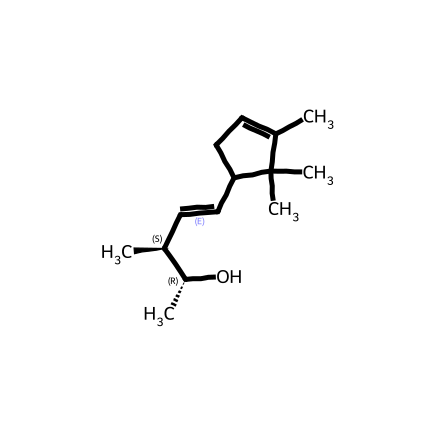 CC1=CCC(/C=C/[C@H](C)[C@@H](C)O)C1(C)C